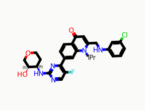 CC(C)n1c(CNc2cccc(Cl)c2)cc(=O)c2ccc(-c3nc(N[C@@H]4CCOC[C@H]4O)ncc3F)cc21